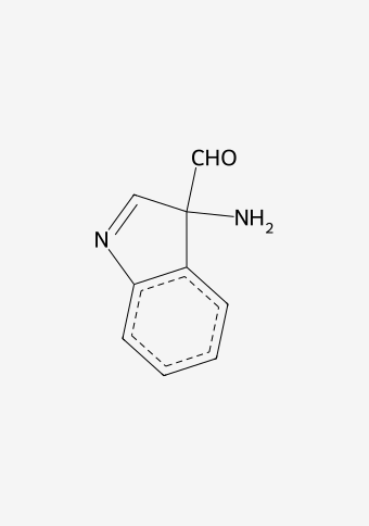 NC1(C=O)C=Nc2ccccc21